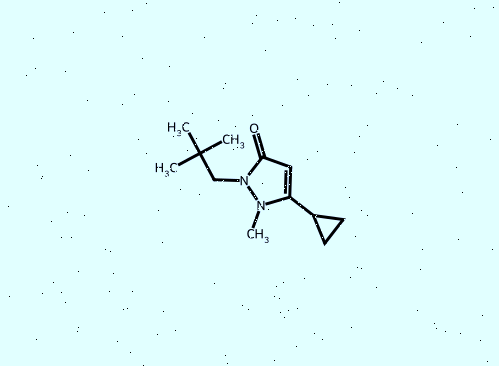 Cn1c(C2CC2)cc(=O)n1CC(C)(C)C